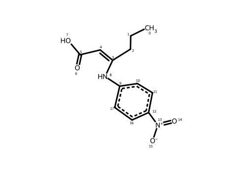 CCC/C(=C/C(=O)O)Nc1ccc([N+](=O)[O-])cc1